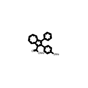 COC(=O)c1c2cccccc-2c(-c2ccccc2)c1-c1ccc(SC)cc1